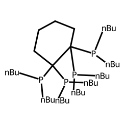 CCCCP(CCCC)C1(P(CCCC)CCCC)CCCCC1(P(CCCC)CCCC)P(CCCC)CCCC